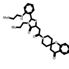 CNCCNc1ccccc1C1SC(CC(=O)N2CCC3(CC2)CC(=O)c2ccccc2O3)C(=O)N1CCC(C)(C)C